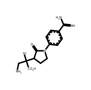 CC(=O)C(CN)(C(=O)O)C1CCN(c2ccc(C(=N)N)cc2)C1=O